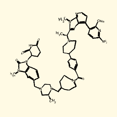 COc1nc(N)ccc1-c1ccnc2c1cc([C@H](C)N1CCC(c3ccc(C(=O)N4CCC(CN5CCN(Cc6ccc7c(c6)n(C)c(=O)n7C6CCC(=O)NC6=O)C[C@@H]5C)CC4)cc3)CC1)n2C